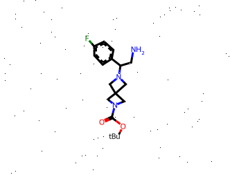 CC(C)(C)OC(=O)N1CC2(C1)CN(C(CN)c1ccc(F)cc1)C2